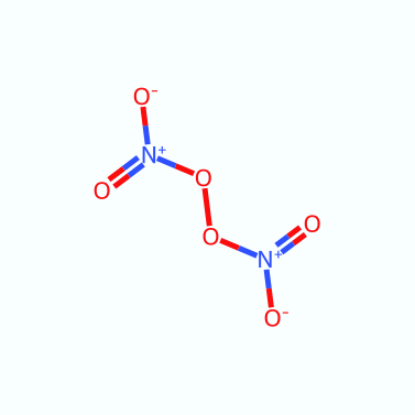 O=[N+]([O-])OO[N+](=O)[O-]